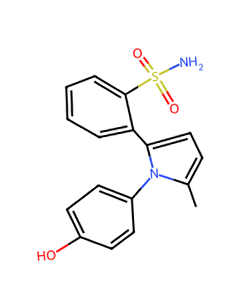 Cc1ccc(-c2ccccc2S(N)(=O)=O)n1-c1ccc(O)cc1